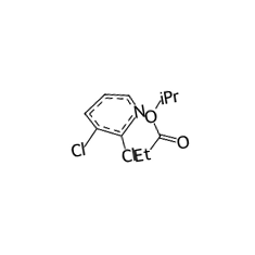 CCC(=O)OC(C)C.Clc1cccnc1Cl